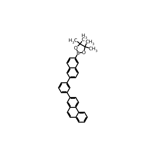 CC1(C)OB(c2ccc3cc(-c4cccc(-c5ccc6c(ccc7ccccc76)c5)c4)ccc3c2)OC1(C)C